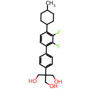 CC1CCC(c2ccc(-c3ccc(C(CO)(CO)CO)cc3)c(F)c2F)CC1